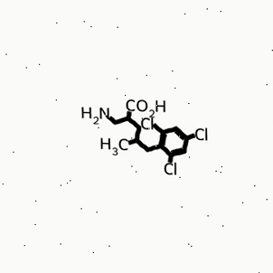 CC(Cc1c(Cl)cc(Cl)cc1Cl)CC(CN)C(=O)O